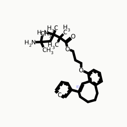 CC(C)(N)CC(C)(N)C(C)(C)C(=O)OCCCOc1cccc2c1/C=C(/c1ccccc1)CCCC2